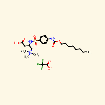 CCCCCCCCOC(=O)Nc1ccc(S(=O)(=O)N[C@H](CC(=O)O)C[N+](C)(C)C)cc1.O=C([O-])C(F)(F)F